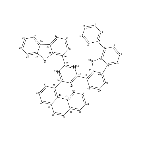 c1ccc(-c2cccc3c2sc2c(-c4nc(-c5cccc6c5oc5ccccc56)nc(-c5cccc6ccc7ccccc7c56)n4)cccc23)cc1